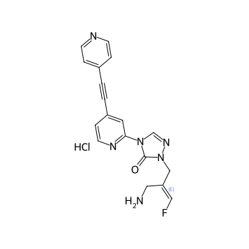 Cl.NC/C(=C\F)Cn1ncn(-c2cc(C#Cc3ccncc3)ccn2)c1=O